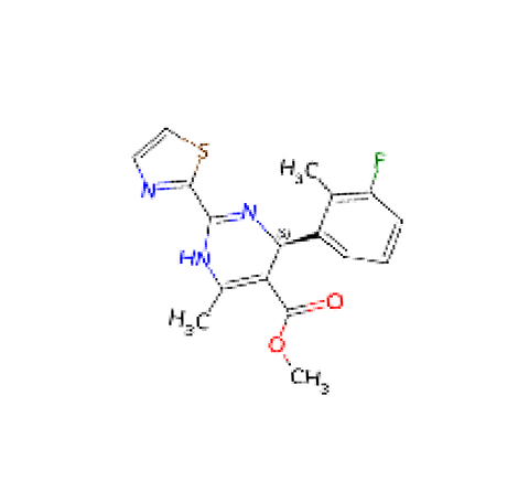 COC(=O)C1=C(C)NC(c2nccs2)=N[C@H]1c1cccc(F)c1C